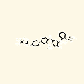 COc1cc(N2CCC(NC(=O)OC(C)(C)C)CC2)ccc1Nc1ncc(Cl)c(Nc2ccccc2N(C)S(C)(=O)=O)n1